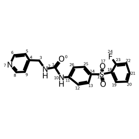 O=C(NCc1ccncc1)Nc1ccc(S(=O)(=O)c2ccccc2F)cc1